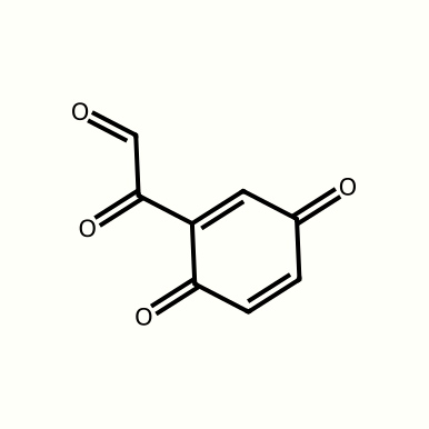 O=CC(=O)C1=CC(=O)C=CC1=O